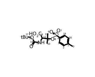 Cc1ccc(S(=O)(=O)OC(C)(C)C(NC(=O)OC(C)(C)C)C(=O)O)cc1